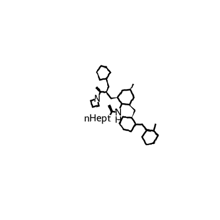 C=C(CCCCCCC)NC1[C@@H](CC(CC2CCCCC2)C(=C)N2CCC2)C[C@@H](C)C[C@H]1C[C@@H]1CCCCC1CC1CCCCC1C